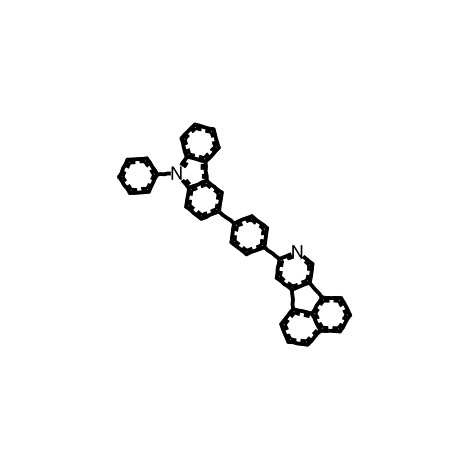 c1ccc(-n2c3ccccc3c3cc(-c4ccc(-c5cc6c(cn5)-c5cccc7cccc-6c57)cc4)ccc32)cc1